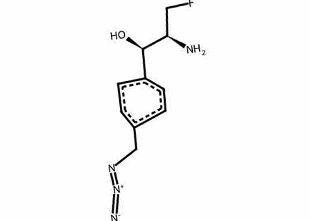 [N-]=[N+]=NCc1ccc([C@@H](O)[C@H](N)CF)cc1